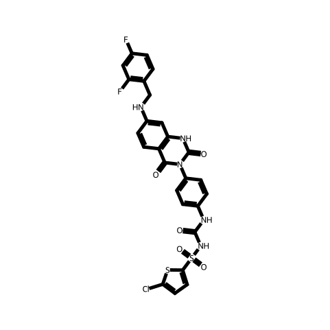 O=C(Nc1ccc(-n2c(=O)[nH]c3cc(NCc4ccc(F)cc4F)ccc3c2=O)cc1)NS(=O)(=O)c1ccc(Cl)s1